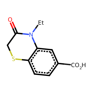 CCN1C(=O)CSc2ccc(C(=O)O)cc21